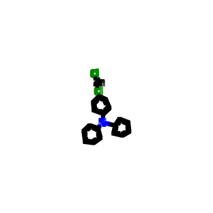 [Cl][Zn][Cl].c1ccc(N(c2ccccc2)c2ccccc2)cc1